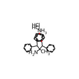 CC(N)(C(c1ccccc1)c1ccccc1)C(c1ccccc1)c1ccccc1.Cl.Cl.N